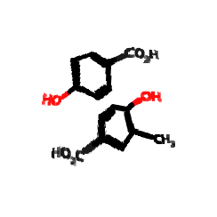 Cc1cc(C(=O)O)ccc1O.O=C(O)c1ccc(O)cc1